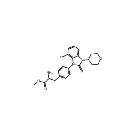 COC(=O)C(N)Cc1ccc(-n2c(=O)n(C3CCOCC3)c3cccc(Cl)c32)cc1